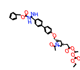 CCOC(=O)OC(C)OC(=O)C[C@@H]1C[C@@H](COc2ccc(-c3ccc(C(=N)NC(=O)OCc4ccccc4)cc3)cc2)N(C(C)=O)C1